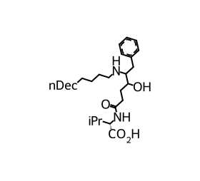 CCCCCCCCCCCCCCNC(Cc1ccccc1)C(O)CCC(=O)N[C@H](C(=O)O)C(C)C